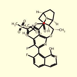 C[C@@H]1Oc2nc(-c3c(F)ccc4ccnc(O)c34)c(F)c3nc(S(C)(=O)=O)nc(c23)N2C[C@H]3CC[C@@H]([C@@H]12)N3C(=O)OC(C)(C)C